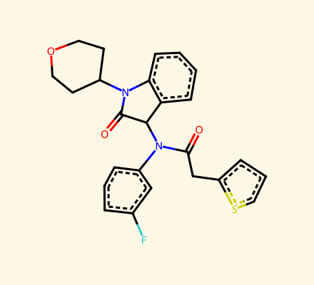 O=C1C(N(C(=O)Cc2cccs2)c2cccc(F)c2)c2ccccc2N1C1CCOCC1